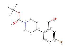 CC(C)(C)OC(=O)N1CC=C(c2ccc(Br)cc2CO)CC1